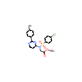 CC(C)c1ccc(-c2nccc(N(CC(=O)OC(C)(C)C)S(=O)(=O)c3ccc(Cl)cc3)n2)cc1